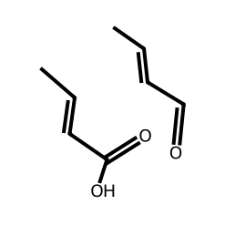 CC=CC(=O)O.CC=CC=O